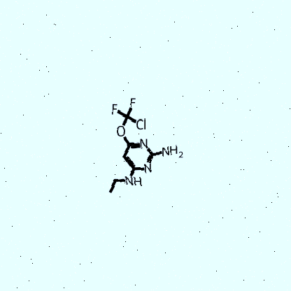 CCNc1cc(OC(F)(F)Cl)nc(N)n1